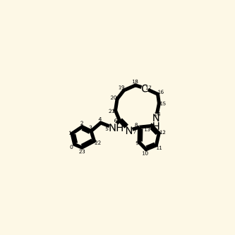 c1ccc(CN/C2=N/c3ccccc3NCCCCCCC2)cc1